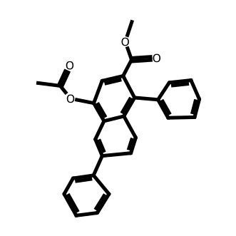 COC(=O)c1cc(OC(C)=O)c2cc(-c3ccccc3)ccc2c1-c1ccccc1